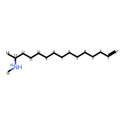 [CH]=CCCCCCCCCCCCC(C)NC